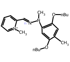 CCCCOc1cc(N(C)/N=C/c2cccc[n+]2C)c(OCCCC)cc1C